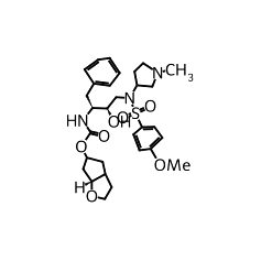 COc1ccc(S(=O)(=O)N(C[C@@H](O)[C@H](Cc2ccccc2)NC(=O)OC2CC3CCO[C@@H]3C2)C2CCN(C)C2)cc1